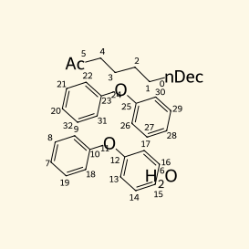 CCCCCCCCCCCCCCC(C)=O.O.c1ccc(Oc2ccccc2)cc1.c1ccc(Oc2ccccc2)cc1